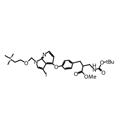 COC(=O)C(CNC(=O)OC(C)(C)C)Cc1ccc(Oc2ccnc3c2c(I)cn3COCCS(C)(C)C)cc1